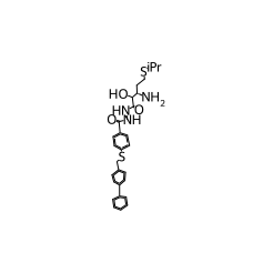 CC(C)SCC[C@@H](N)C(O)C(=O)NNC(=O)c1ccc(SCc2ccc(-c3ccccc3)cc2)cc1